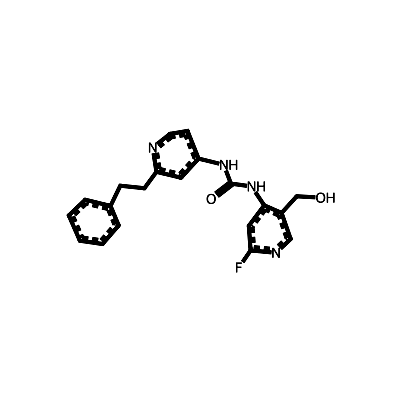 O=C(Nc1ccnc(CCc2ccccc2)c1)Nc1cc(F)ncc1CO